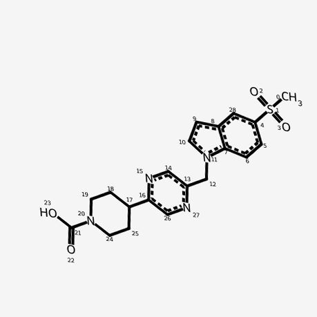 CS(=O)(=O)c1ccc2c(ccn2Cc2cnc(C3CCN(C(=O)O)CC3)cn2)c1